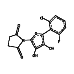 O=C1CCC(=O)N1c1oc(-c2c(F)cccc2Cl)c(O)c1O